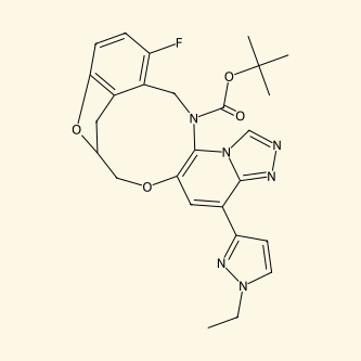 CCn1ccc(-c2cc3c(n4cnnc24)N(C(=O)OC(C)(C)C)Cc2c(F)ccc4c2CC(CO3)O4)n1